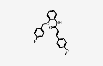 COc1ccc(/C=C/C(=O)Nc2ccccc2OCc2ccc(F)cc2)cc1